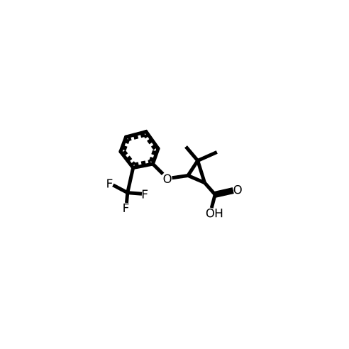 CC1(C)C(Oc2ccccc2C(F)(F)F)C1C(=O)O